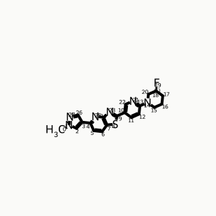 Cn1cc(-c2ccc3sc(-c4ccc(N5CCC[C@H](F)C5)nc4)nc3n2)cn1